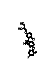 OCC(O)COc1ccc(Cl)c(-c2n[nH]c3nc(Oc4ccc(F)cc4F)ncc23)c1